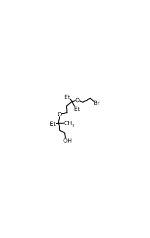 CCC(C)(CCO)OCCC(CC)(CC)OCCBr